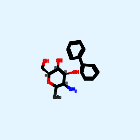 CC(=O)OC1O[C@H](CO)[C@@H](O)[C@H](O)[C@H]1N.c1ccc(-c2ccccc2)cc1